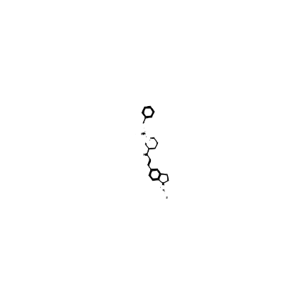 CON=C1CCc2cc(C=CC(=O)C3CCCN(C(=O)OCc4ccccc4)C3)ccc21